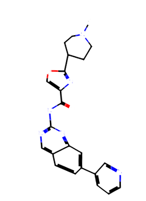 CN1CCC(c2nc(C(=O)Nc3ncc4ccc(-c5cccnc5)cc4n3)co2)CC1